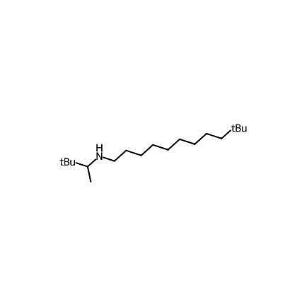 CC(NCCCCCCCCCC(C)(C)C)C(C)(C)C